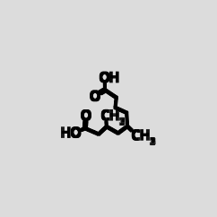 CC(CCCC(=O)O)CC(C)CC(=O)O